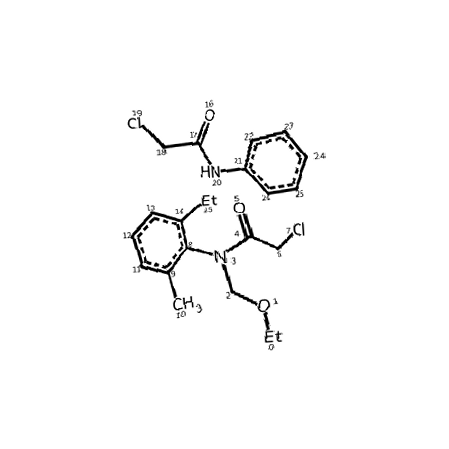 CCOCN(C(=O)CCl)c1c(C)cccc1CC.O=C(CCl)Nc1ccccc1